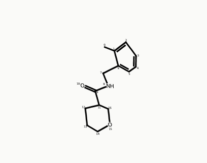 Cc1ccccc1CNC(=O)C1CCCOC1